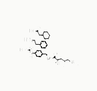 CC(=O)Nc1ccc(C=O)cc1.NCCC[C@H](N)C(=O)O.NCCc1ccccc1.O=C(O)CC1CCCCC1